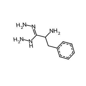 N/N=C(\NN)C(N)Cc1ccccc1